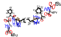 CC(C)C(NC(=O)OC(C)(C)C)C(=O)OCC(C(=O)Nc1nnc(CCCCc2nnc(NC(=O)C(COC(=O)CNC(=O)OC(C)(C)C)c3ccccc3)s2)s1)c1ccccc1